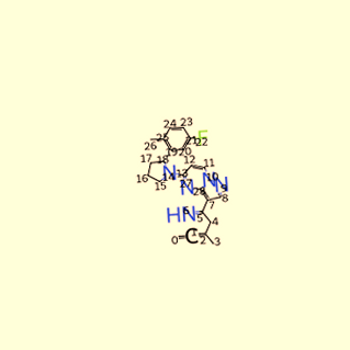 C=C=C(C)CC(=N)c1cnn2ccc(N3CCC[C@@H]3c3cc(F)ccc3C)nc12